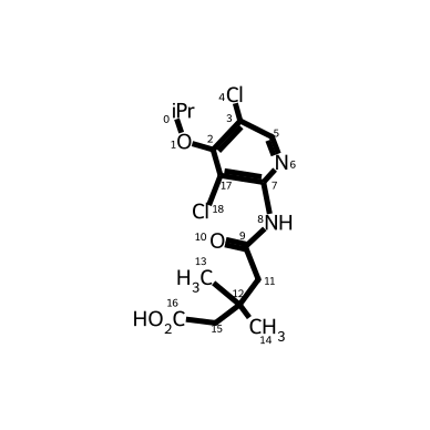 CC(C)Oc1c(Cl)cnc(NC(=O)CC(C)(C)CC(=O)O)c1Cl